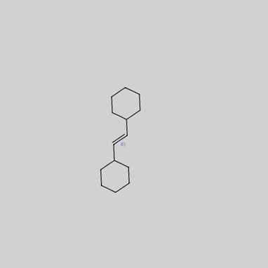 C(=C\C1CCCCC1)/C1CCCCC1